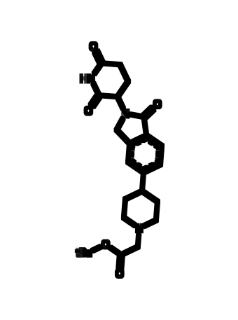 CC(C)(C)OC(=O)CN1CCC(c2ccc3c(c2)CN(C2CCC(=O)NC2=O)C3=O)CC1